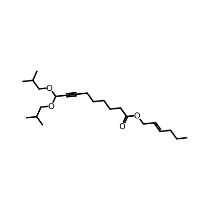 CCC/C=C/COC(=O)CCCCCC#CC(OCC(C)C)OCC(C)C